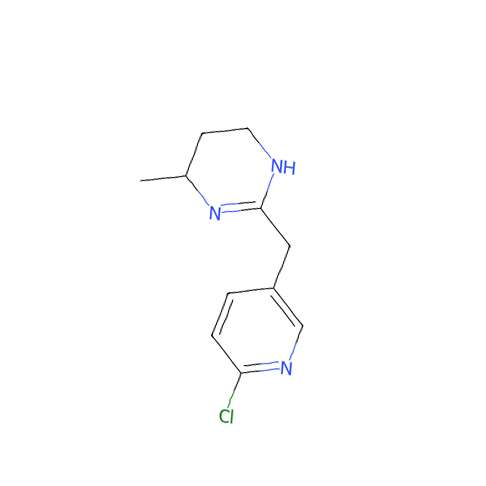 CC1CCNC(Cc2ccc(Cl)nc2)=N1